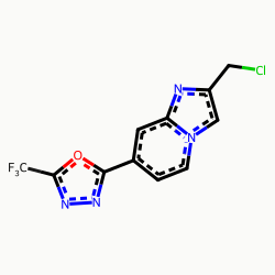 FC(F)(F)c1nnc(-c2ccn3cc(CCl)nc3c2)o1